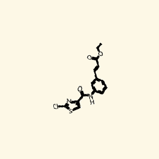 CCOC(=O)C=Cc1cccc(NC(=O)c2csc(Cl)n2)c1